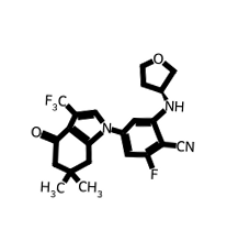 CC1(C)CC(=O)c2c(C(F)(F)F)cn(-c3cc(F)c(C#N)c(N[C@H]4CCOC4)c3)c2C1